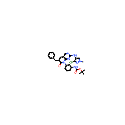 Cn1cc(Nc2ncc3cc(Cc4ccccc4)c(=O)n(-c4cccc(NC(=O)OC(C)(C)C)c4)c3n2)c(Cl)n1